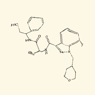 CC(C)(C)C(NC(=O)c1nn(CC2CCOCC2)c2c(F)cccc12)C(=O)NC(CO)c1ccccc1